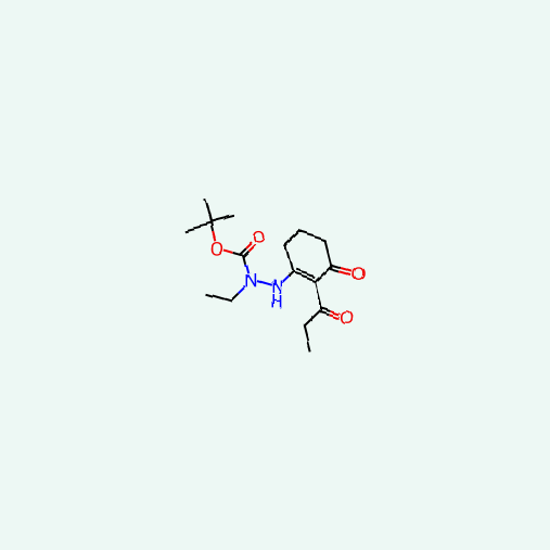 CCC(=O)C1=C(NN(CC)C(=O)OC(C)(C)C)CCCC1=O